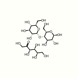 O=C(CO)[C@H](O)[C@@H](O)[C@H](O)CO.OC[C@H]1O[C@H](O[C@H]2[C@H](O)[C@@H](O)[C@H](O)O[C@@H]2CO)[C@H](O)[C@@H](O)[C@@H]1O